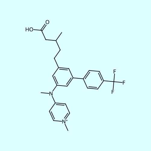 CC(CCc1cc(-c2ccc(C(F)(F)F)cc2)cc(N(C)c2cc[n+](C)cc2)c1)CC(=O)O